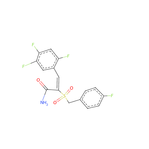 NC(=O)/C(=C\c1cc(F)c(F)cc1F)S(=O)(=O)Cc1ccc(F)cc1